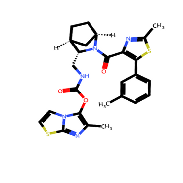 Cc1cccc(-c2sc(C)nc2C(=O)N2[C@@H]3CC[C@@H](C3)[C@H]2CNC(=O)Oc2c(C)nc3sccn23)c1